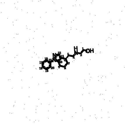 OCCNCC[C@H]1CCCc2c1cnn2-c1ccccc1